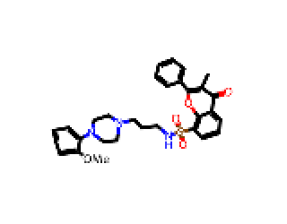 COc1ccccc1N1CCN(CCCNS(=O)(=O)c2cccc3c(=O)c(C)c(-c4ccccc4)oc23)CC1